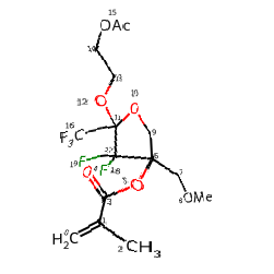 C=C(C)C(=O)OC1(COC)COC(OCCOC(C)=O)(C(F)(F)F)C1(F)F